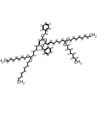 CCCCCCCCOC(CCCCC=CC(OCc1ccccc1)OC(C=CCCCCC(OCCCCCCCC)OCCCCCCCC)OCc1ccccc1)OCCCCCCCC